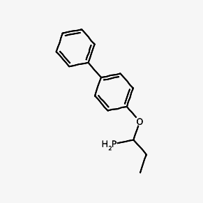 CCC(P)Oc1ccc(-c2ccccc2)cc1